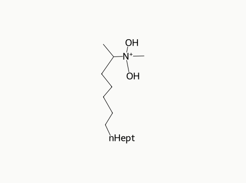 CCCCCCCCCCCCC(C)[N+](C)(O)O